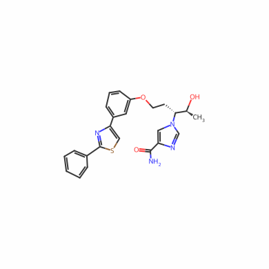 C[C@H](O)[C@@H](CCOc1cccc(-c2csc(-c3ccccc3)n2)c1)n1cnc(C(N)=O)c1